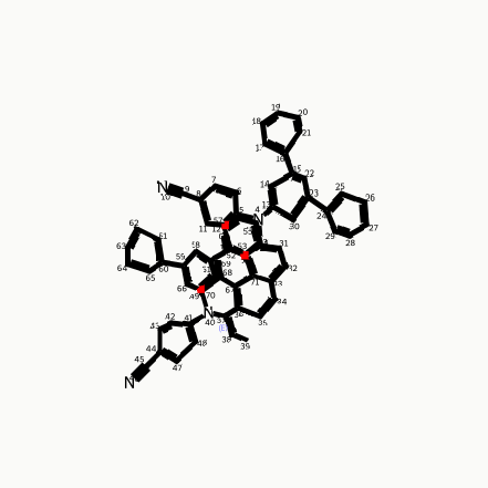 C=Cc1c(N(c2ccc(C#N)cc2)c2cc(-c3ccccc3)cc(-c3ccccc3)c2)ccc2ccc(/C(=C\C)N(c3ccc(C#N)cc3)c3cc(-c4ccccc4)cc(-c4ccccc4)c3)c(C(=C)C)c12